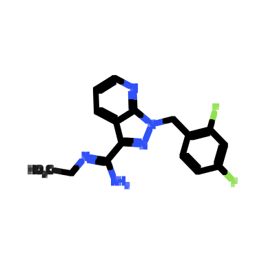 NC(=NCC(=O)O)c1nn(Cc2ccc(F)cc2F)c2ncccc12